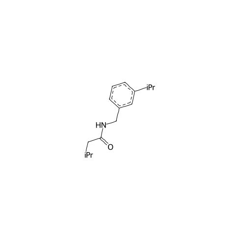 CC(C)CC(=O)NCc1cccc(C(C)C)c1